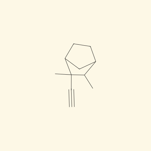 C#CC1(C)C2CCC(C2)C1C